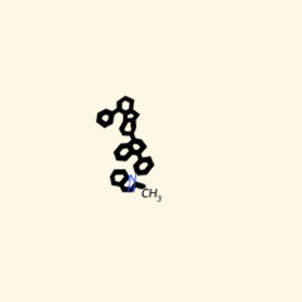 C/C=C\C=C/C1=C(Nc2cccc(-c3ccc(C4C=C5CC6=C(C5=CC4)C(c4ccccc4)=CCC6)c4ccccc34)c2)C=CCC1